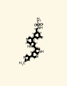 Cn1cc(-c2cnc3[nH]nc(-c4cc5c(-c6cc(F)cc(CNS(C)(=O)=O)c6)cncc5[nH]4)c3c2)cn1